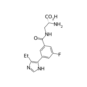 CCc1nc[nH]c1-c1cc(F)cc(C(=O)NC[C@@H](N)C(=O)O)c1